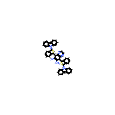 Nc1c(N)c(-c2sc(-n3c4ccccc4c4ccccc43)c3ccccc23)c2nccnc2c1-c1sc(-n2c3ccccc3c3ccccc32)c2ccccc12